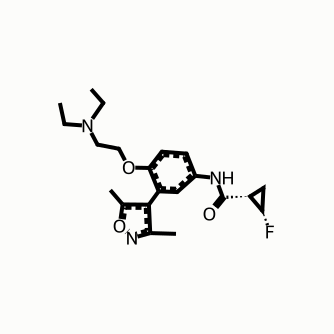 CCN(CC)CCOc1ccc(NC(=O)[C@@H]2C[C@@H]2F)cc1-c1c(C)noc1C